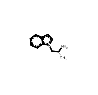 C[C@@H](N)Cn1ccc2ccccc21